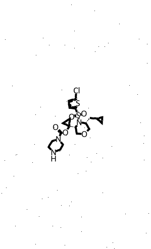 O=C(OC1([C@H]2COC[C@@H](CC3CC3)N2S(=O)(=O)c2ccc(Cl)s2)CC1)N1CCNCC1